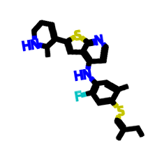 CC/C(C)=C\Sc1cc(F)c(Nc2ccnc3sc(C4=CCCNC4C)cc23)cc1C